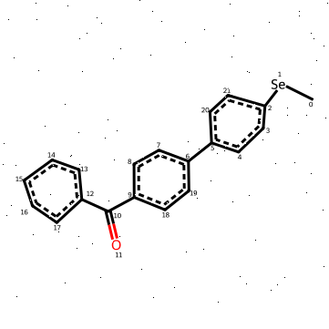 C[Se]c1ccc(-c2ccc(C(=O)c3ccccc3)cc2)cc1